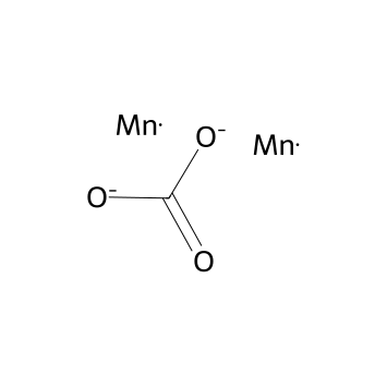 O=C([O-])[O-].[Mn].[Mn]